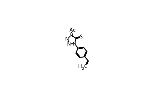 C=Cc1ccc(-n2nnn(C(C)=O)c2=S)cc1